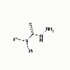 CC(C)N(C(=S)NN)C(C)C